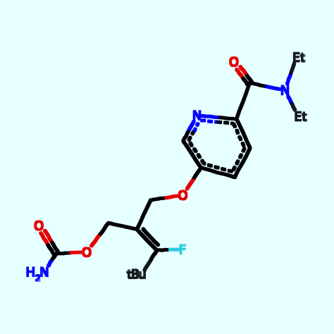 CCN(CC)C(=O)c1ccc(OCC(COC(N)=O)=C(F)C(C)(C)C)cn1